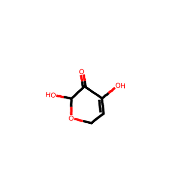 O=C1C(O)=CCOC1O